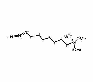 CO[Si](CCCCCCCN=[N+]=[N-])(OC)OC